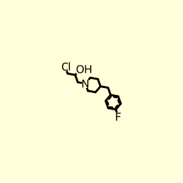 OC(CCl)CN1CCC(Cc2ccc(F)cc2)CC1